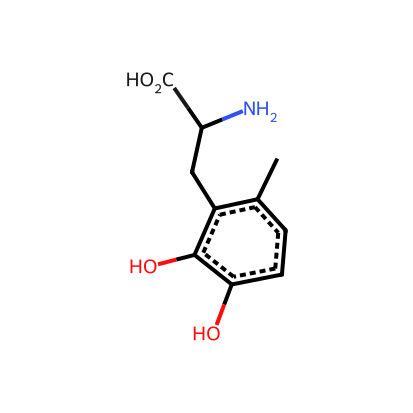 Cc1ccc(O)c(O)c1CC(N)C(=O)O